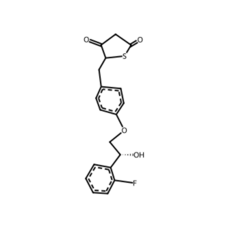 O=C1CC(=O)C(Cc2ccc(OC[C@H](O)c3ccccc3F)cc2)S1